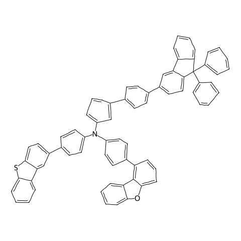 c1ccc(C2(c3ccccc3)c3ccccc3-c3cc(-c4ccc(-c5cccc(N(c6ccc(-c7ccc8sc9ccccc9c8c7)cc6)c6ccc(-c7cccc8oc9ccccc9c78)cc6)c5)cc4)ccc32)cc1